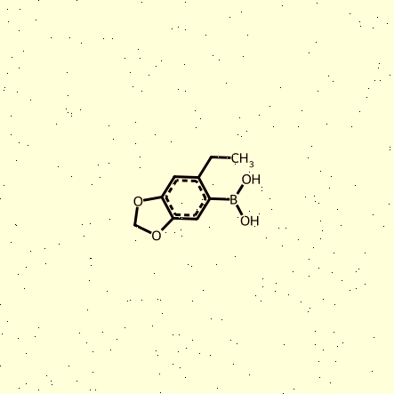 CCc1cc2c(cc1B(O)O)OCO2